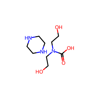 C1CNCCN1.O=C(O)N(CCO)CCO